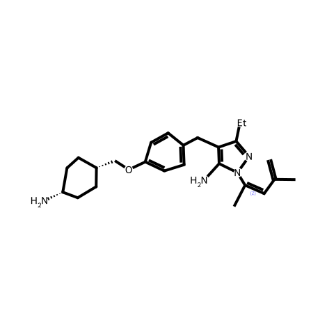 C=C(C)/C=C(/C)n1nc(CC)c(Cc2ccc(OC[C@H]3CC[C@@H](N)CC3)cc2)c1N